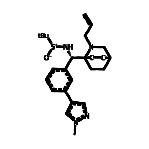 C=CCN1CC2CCC1([C@@H](N[S+]([O-])C(C)(C)C)c1cccc(-c3cnn(C)c3)c1)CC2